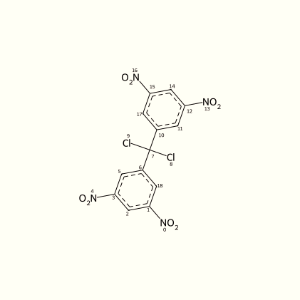 O=[N+]([O-])c1cc([N+](=O)[O-])cc(C(Cl)(Cl)c2cc([N+](=O)[O-])cc([N+](=O)[O-])c2)c1